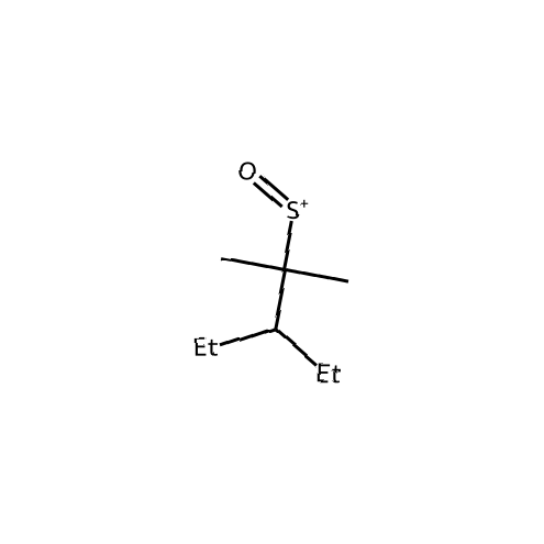 CCC(CC)C(C)(C)[S+]=O